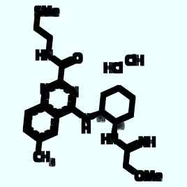 COCC(=N)N[C@@H]1CCCC[C@@H]1Nc1nc(C(=O)NCCSC)nc2ccc(C)cc12.Cl.Cl